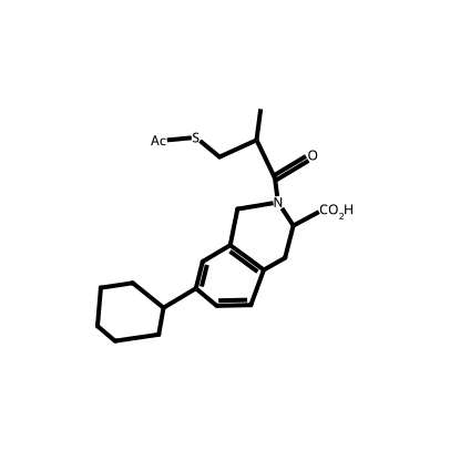 CC(=O)SCC(C)C(=O)N1Cc2cc(C3CCCCC3)ccc2CC1C(=O)O